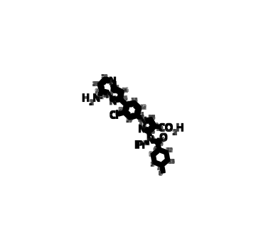 CC1CCC(C(=O)N(c2nn(-c3ccc(-c4cc5nccc(N)n5n4)c(Cl)c3)cc2C(=O)O)C(C)C)CC1